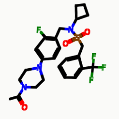 CC(=O)N1CCN(c2ccc(CN(C3CCC3)S(=O)(=O)Cc3ccccc3C(F)(F)F)c(F)c2)CC1